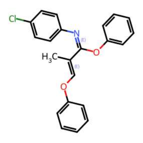 CC(=C\Oc1ccccc1)/C(=N\c1ccc(Cl)cc1)Oc1ccccc1